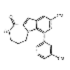 N#Cc1cccc(-c2cc(C#N)cc3cc4n(c23)CCCNC4=O)c1